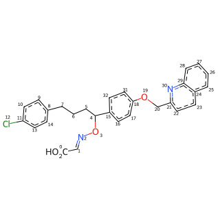 O=C(O)C=NOC(CCCc1ccc(Cl)cc1)c1ccc(OCc2ccc3ccccc3n2)cc1